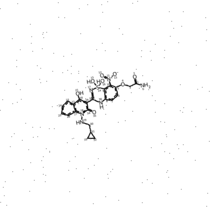 NC(=O)COc1ccc2c(c1[N+](=O)[O-])S(O)(O)N=C(c1c(O)c3ccccc3n(NCC3CC3)c1=O)N2